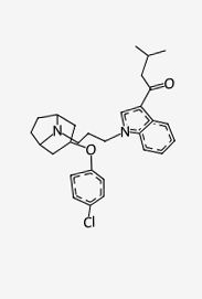 CC(C)CC(=O)c1cn(CCCN2C3CCC2CC(Oc2ccc(Cl)cc2)C3)c2ccccc12